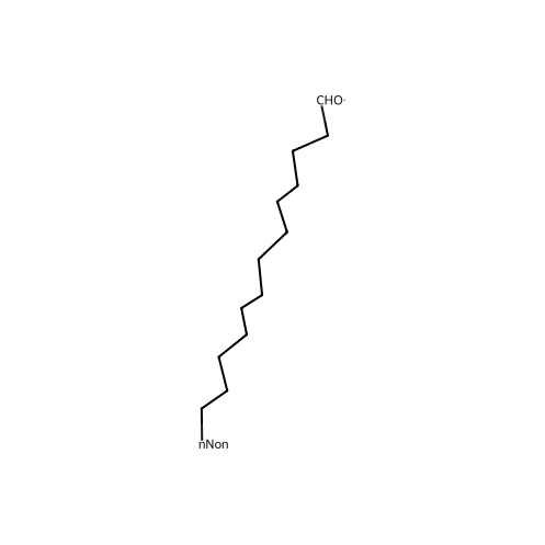 CCCCCCCCCCCCCCCCCCCCC[C]=O